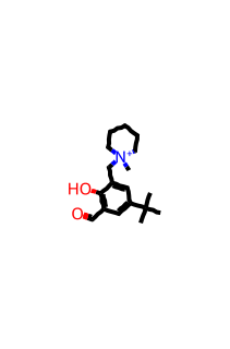 CC(C)(C)c1cc(C=O)c(O)c(C[N+]2(C)CCCCC2)c1